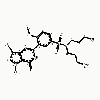 CCCc1nn(C)c2c(=O)[nH]c(-c3cc(S(=O)(=O)N(CCCO)CCCOC(C)=O)ccc3OCC)nc12